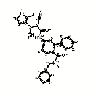 Cc1oncc1C(O)C(C#N)C(=O)Nc1ncc(C(=O)N(C)Cc2ccccc2)c(-c2ccccc2)n1